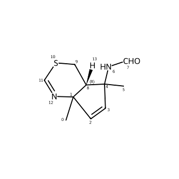 CC12C=CC(C)(NC=O)[C@H]1CSC=N2